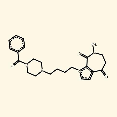 CN1CCC(=O)c2ccn(CCCCN3CCN(C(=O)c4ccccc4)CC3)c2C1=O